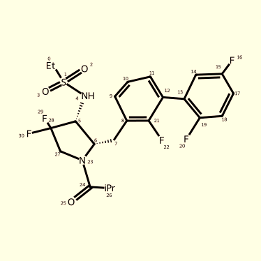 CCS(=O)(=O)N[C@@H]1[C@H](Cc2cccc(-c3cc(F)ccc3F)c2F)N(C(=O)C(C)C)CC1(F)F